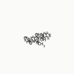 CCOc1nc(C(=O)N2C3CCC2COC3)ccc1C(=O)NCC(O)[C@@H]1Cc2ccccc2CN1